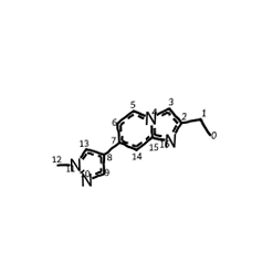 CCc1cn2ccc(-c3cnn(C)c3)cc2n1